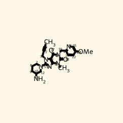 CC#CCn1c(N2CCCC(N)C2)nc2c1c(=O)n(Cc1ccc(OC)cn1)c(=O)n2C